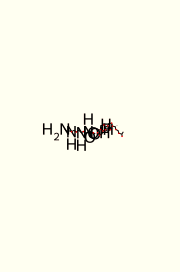 CC(C)CCC[C@@H](C)[C@H]1CC[C@H]2[C@@H]3CC=C4C[C@@H](OOC(=O)NCCNCCCNCCN)CC[C@]4(C)[C@H]3CC[C@]12C